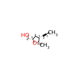 CC#C[C@H]1C[C@@H](CO)O[C@H]1C